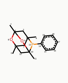 CC12CC3(C)CC(C)(O1)OC(C)(C2)P3c1ccccc1